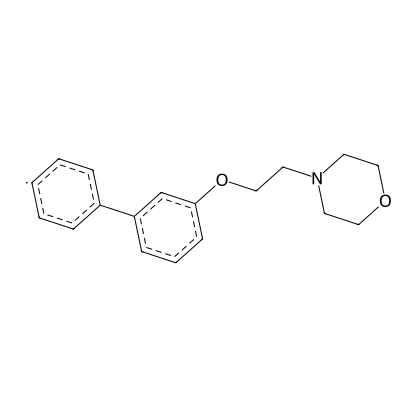 [c]1ccc(-c2cccc(OCCN3CCOCC3)c2)cc1